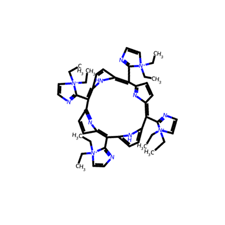 CC[N+]1(CC)C=CN=C1c1c2nc(c(C3=NC=C[N+]3(CC)CC)c3ccc([nH]3)c(C3=NC=C[N+]3(CC)CC)c3nc(c(C4=NC=C[N+]4(CC)CC)c4ccc1[nH]4)C=C3)C=C2